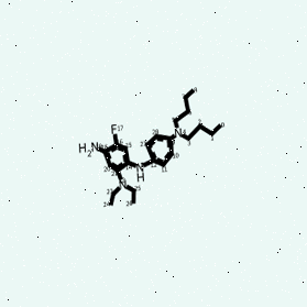 CCCCN(CCCC)c1ccc(Nc2cc(F)c(N)cc2N(CC)CC)cc1